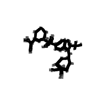 CC(C)(C)c1nc2cc(S(=O)(=O)N3CCCC(C(=O)O)C3)ccc2n1CC1CCC(F)(F)CC1